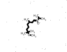 COC(C)(C)CCCC(C)CC=[N+]([O-])C(C)C